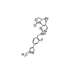 CC(C)C1COC(=O)N1c1nc(NCc2ccc(-c3cnn(C)c3)cc2F)ncc1F